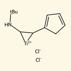 CC(C)(C)N[CH]1[Ti+2][CH]1C1=CC=CC1.[Cl-].[Cl-]